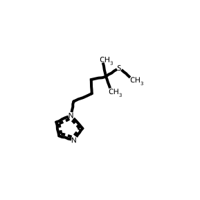 CSC(C)(C)CCCn1ccnc1